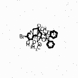 COCOC1c2c(OC)c(=O)c(Br)cn2CC(=O)C1(C)CCO[Si](c1ccccc1)(c1ccccc1)C(C)(C)C